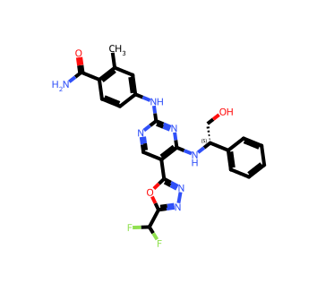 Cc1cc(Nc2ncc(-c3nnc(C(F)F)o3)c(N[C@H](CO)c3ccccc3)n2)ccc1C(N)=O